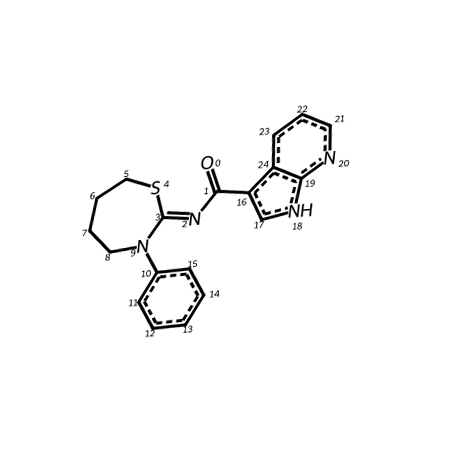 O=C(/N=C1\SCCCCN1c1ccccc1)c1c[nH]c2ncccc12